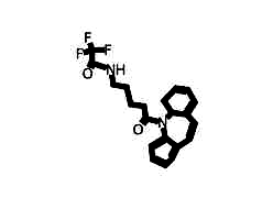 O=C(CCCCNC(=O)C(F)(F)F)N1c2ccccc2C=CC2=CC=CCC21